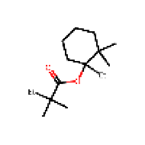 CCC(C)(C)C(=O)OC1(CC)CCCCC1(C)C